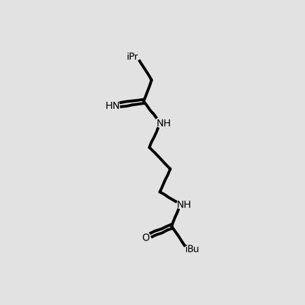 CCC(C)C(=O)NCCCNC(=N)CC(C)C